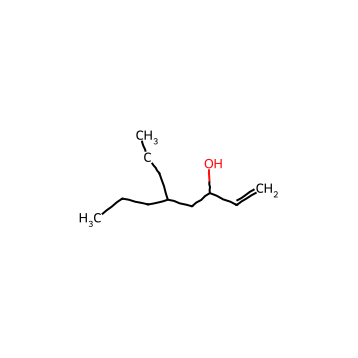 C=CC(O)CC(CCC)CCC